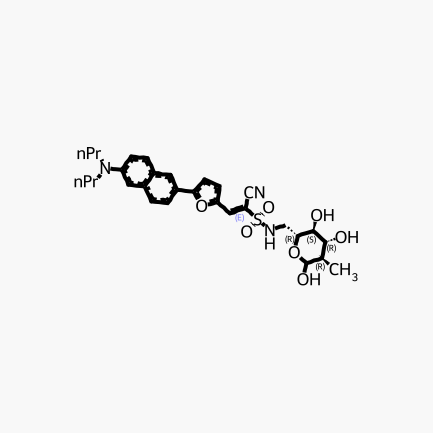 CCCN(CCC)c1ccc2cc(-c3ccc(/C=C(\C#N)S(=O)(=O)NC[C@H]4OC(O)[C@H](C)[C@@H](O)[C@@H]4O)o3)ccc2c1